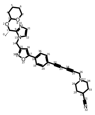 C[C@H](OC1CCCCO1)c1nccn1Cc1cc(-c2ccc(C#CC#CCN3CCC(C#N)CC3)cc2)on1